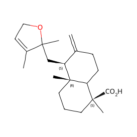 C=C1CCC2[C@](C)(CCC[C@]2(C)C(=O)O)[C@H]1CC1(C)OCC=C1C